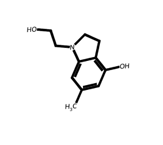 Cc1cc(O)c2c(c1)N(CCO)CC2